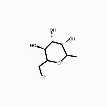 CC1OC(CO)[C@@H](O)[C@H](O)[C@@H]1O